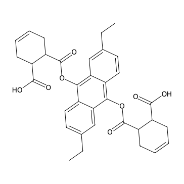 CCc1ccc2c(OC(=O)C3CC=CCC3C(=O)O)c3cc(CC)ccc3c(OC(=O)C3CC=CCC3C(=O)O)c2c1